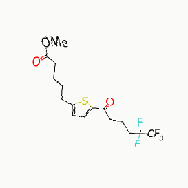 COC(=O)CCCCc1ccc(C(=O)CCCC(F)(F)C(F)(F)F)s1